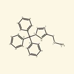 NOCc1ncn(C(c2ccccc2)(c2ccccc2)c2ccccc2)n1